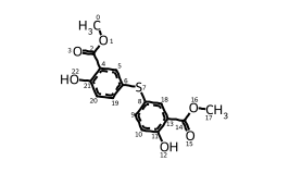 COC(=O)c1cc(Sc2ccc(O)c(C(=O)OC)c2)ccc1O